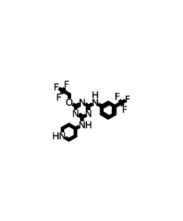 FC(F)(F)COc1nc(Nc2cccc(C(F)(F)F)c2)nc(NC2CCNCC2)n1